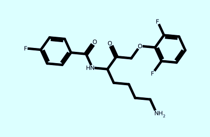 NCCCCC(NC(=O)c1ccc(F)cc1)C(=O)COc1c(F)cccc1F